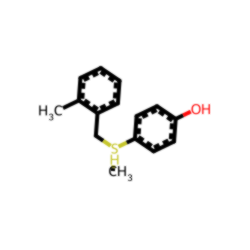 Cc1ccccc1C[SH](C)c1ccc(O)cc1